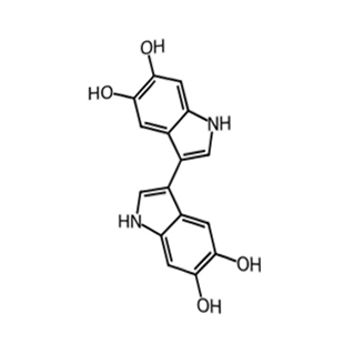 Oc1cc2[nH]cc(-c3c[nH]c4cc(O)c(O)cc34)c2cc1O